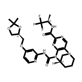 C[C@@H](NC(=O)c1ncc2c(n1)N(C(=O)Nc1cc(OC[C@H]3COC(C)(C)O3)ccn1)[C@H]1CCCN2C1)C(F)(F)F